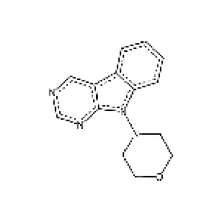 c1ccc2c(c1)c1cncnc1n2N1CCOCC1